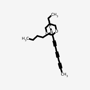 CC#CC#CC#CC12OCC(CC)(CO1)CN2CCCC